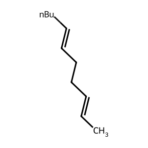 C/C=C/CC/C=C/CCCC